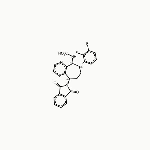 O=C(O)N[C@@H]1c2nccnc2[C@H](N2C(=O)c3ccccc3C2=O)CC[C@H]1c1cccc(F)c1F